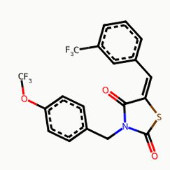 O=C1SC(=Cc2cccc(C(F)(F)F)c2)C(=O)N1Cc1ccc(OC(F)(F)F)cc1